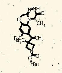 C=C(c1cc2c(cc1C(F)(F)F)OCC1=NNC(=O)[C@H](C)N12)C1(C)CN(C(=O)OC(C)(C)C)C1